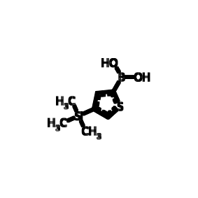 C[Si](C)(C)c1csc(B(O)O)c1